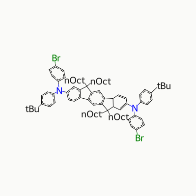 CCCCCCCCC1(CCCCCCCC)c2cc(N(c3ccc(Br)cc3)c3ccc(C(C)(C)C)cc3)ccc2-c2cc3c(cc21)C1C=CC(N(c2ccc(Br)cc2)c2ccc(C(C)(C)C)cc2)=CC1C3(CCCCCCCC)CCCCCCCC